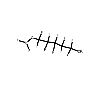 FN(F)OC(F)(F)C(F)(F)C(F)(F)C(F)(F)C(F)(F)C(F)(F)F